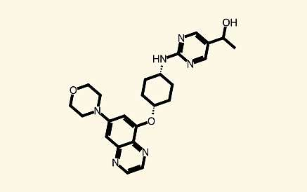 CC(O)c1cnc(N[C@H]2CC[C@@H](Oc3cc(N4CCOCC4)cc4nccnc34)CC2)nc1